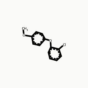 COc1ccc(Oc2cc[c]cc2Cl)cc1